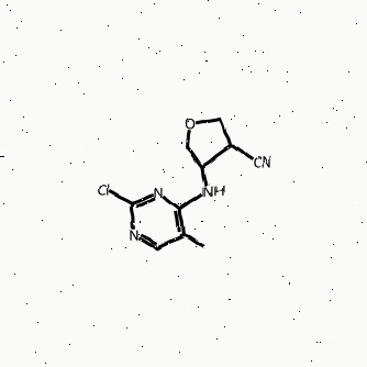 Cc1cnc(Cl)nc1NC1COCC1C#N